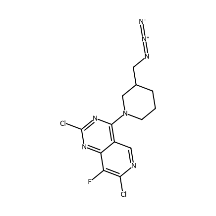 [N-]=[N+]=NCC1CCCN(c2nc(Cl)nc3c(F)c(Cl)ncc23)C1